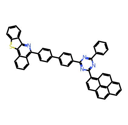 c1ccc(-c2nc(-c3ccc(-c4ccc(-c5nc6c7ccccc7sc6c6ccccc56)cc4)cc3)nc(-c3ccc4ccc5cccc6ccc3c4c56)n2)cc1